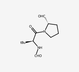 CC(C)(C)[C@H](NC=O)C(=O)N1CCC[C@H]1C=O